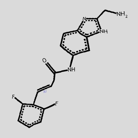 NCc1nc2ccc(NC(=O)/C=C/c3c(F)cccc3F)cc2[nH]1